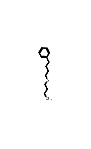 CCCCSCCCCc1ccccc1